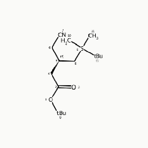 CC(C)(C)OC(=O)C[C@@H](CC#N)CS(C)(C)C(C)(C)C